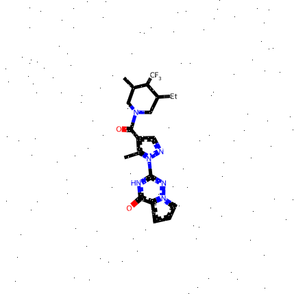 CCC1CN(C(=O)c2cnn(-c3nn4cccc4c(=O)[nH]3)c2C)CC(C)C1C(F)(F)F